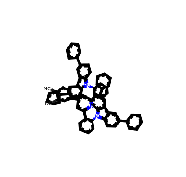 N#Cc1ccc(-c2cc(-c3ccccc3-n3c4ccc(-c5ccccc5)cc4c4cc(-c5ccccc5)ccc43)nc(-c3ccccc3-n3c4ccc(-c5ccccc5)cc4c4cc(-c5ccccc5)ccc43)c2)cc1C#N